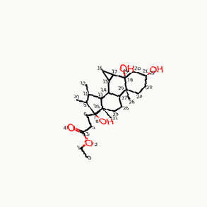 CCOC(=O)CC[C@]1(O)C(C)[C@@H](C)C2C3C4CC4[C@]4(O)C[C@@H](O)CC[C@]4(C)C3CC[C@@]21C